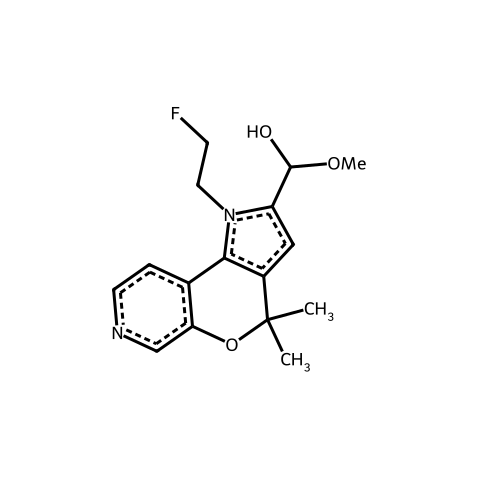 COC(O)c1cc2c(n1CCF)-c1ccncc1OC2(C)C